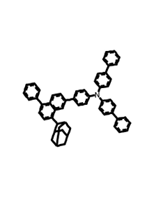 c1ccc(-c2ccc(N(c3ccc(-c4ccccc4)cc3)c3ccc(-c4ccc5c(-c6ccccc6)ccc(C6C7CC8CC(C7)CC6C8)c5c4)cc3)cc2)cc1